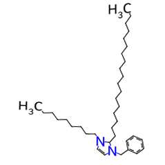 CCCCCCCCCCCCCCCCCCC1N(CCCCCCCCC)C=CN1Cc1ccccc1